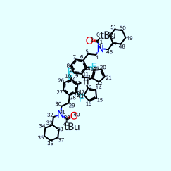 CC(C)(C)C(=O)N(CCc1ccc(F)[c]([Ti]([C]2=CC=CC2)([C]2=CC=CC2)[c]2c(F)ccc(CCN(CC3CCCCC3)C(=O)C(C)(C)C)c2F)c1F)CC1CCCCC1